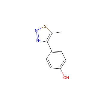 Cc1snnc1-c1ccc(O)cc1